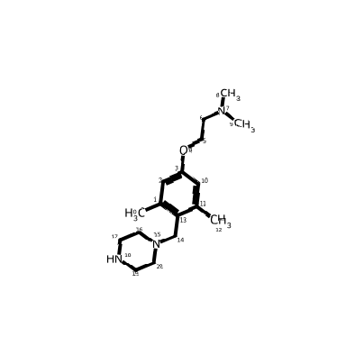 Cc1cc(OCCN(C)C)cc(C)c1CN1CCNCC1